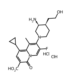 Cc1c(N2CC[C@H](CCO)[C@H](N)C2)c(F)cn2c(=O)c(C(=O)O)cc(C3CC3)c12.Cl.Cl